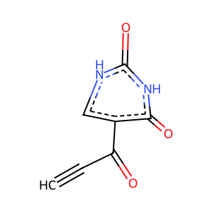 C#CC(=O)c1c[nH]c(=O)[nH]c1=O